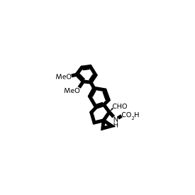 COc1cccc(-c2ccc3c(c2)CCC2(CC2)[C@]3(C=O)NC(=O)O)c1OC